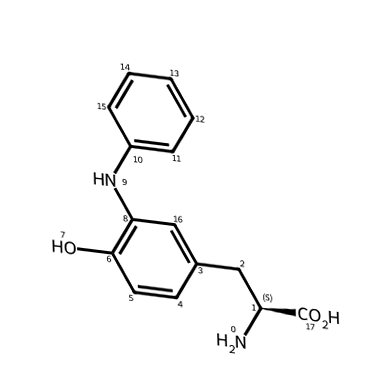 N[C@@H](Cc1ccc(O)c(Nc2ccccc2)c1)C(=O)O